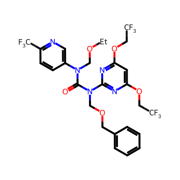 CCOCN(C(=O)N(COCc1ccccc1)c1nc(OCC(F)(F)F)cc(OCC(F)(F)F)n1)c1ccc(C(F)(F)F)nc1